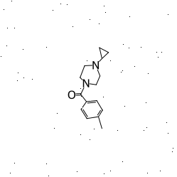 Cc1ccc(C(=O)N2CCN(C3CC3)CC2)cc1